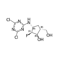 OC[C@H]1C[C@@H](Nc2nc(Cl)nc(Cl)n2)[C@H](F)[C@@H]1O